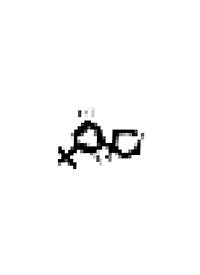 CC(C)(C)c1cccc(C2(N)CCOCC2)c1.Cl